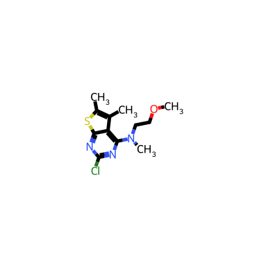 COCCN(C)c1nc(Cl)nc2sc(C)c(C)c12